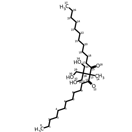 CCCCCCCCCCCC(=O)C(C)(C(=O)CCCCCCCCCCC)C(CO)(CO)CO